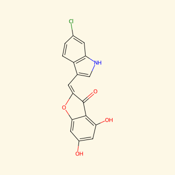 O=C1/C(=C\c2c[nH]c3cc(Cl)ccc23)Oc2cc(O)cc(O)c21